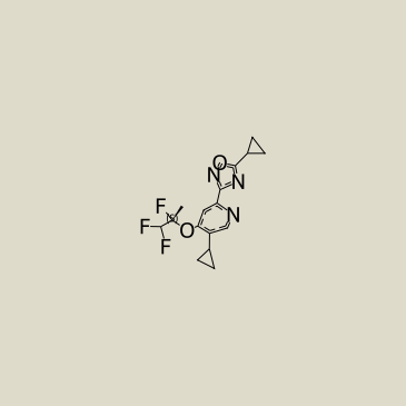 C[C@@](F)(Oc1cc(-c2noc(C3CC3)n2)ncc1C1CC1)C(F)F